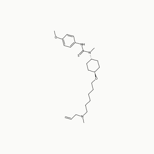 C=CCN(C)CCCCCCO[C@H]1CC[C@H](N(C)C(=S)Nc2ccc(OC)cc2)CC1